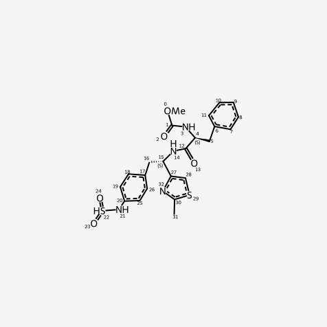 COC(=O)N[C@@H](Cc1ccccc1)C(=O)N[C@@H](Cc1ccc(N[SH](=O)=O)cc1)c1csc(C)n1